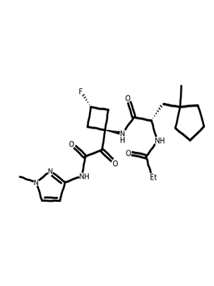 CCC(=O)N[C@@H](CC1(C)CCCC1)C(=O)N[C@]1(C(=O)C(=O)Nc2ccn(C)n2)C[C@@H](F)C1